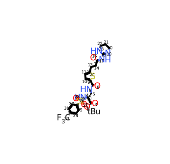 CC(C)(C)OC(=O)[C@H](CNC(=O)c1ccc(CCC(=O)NC2=NCCCN2)s1)NS(=O)(=O)c1ccc(C(F)(F)F)cc1